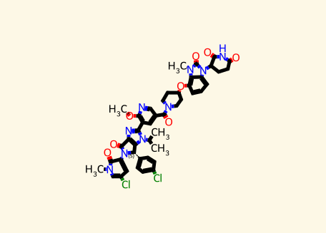 COc1ncc(C(=O)N2CCC(Oc3cccc4c3n(C)c(=O)n4C3CCC(=O)NC3=O)CC2)cc1-c1nc2c(n1C(C)C)[C@H](c1ccc(Cl)cc1)N(c1cc(Cl)cn(C)c1=O)C2=O